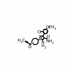 CC#CC(=O)N1CCCC(n2nc(-c3ccc(OC)cc3Cl)c(C(N)=O)c2N)CCC1